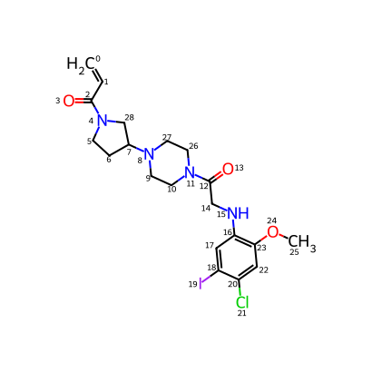 C=CC(=O)N1CCC(N2CCN(C(=O)CNc3cc(I)c(Cl)cc3OC)CC2)C1